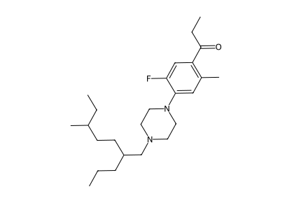 CCCC(CCC(C)CC)CN1CCN(c2cc(C)c(C(=O)CC)cc2F)CC1